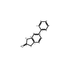 O=C1Cc2ccc(-c3ccccc3)cc2C1